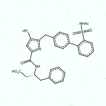 CCCc1cc(C(=O)N[C@@H](CC(=O)O)Cc2ccccc2)nn1Cc1ccc(-c2ccccc2S(=O)(=O)NC(C)=O)cc1